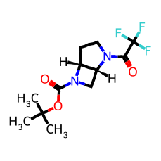 CC(C)(C)OC(=O)N1C[C@@H]2[C@H]1CCN2C(=O)C(F)(F)F